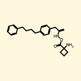 C=C(Cc1ccc(CCCCc2ccccc2)cc1)NOC(=O)C1(N)CCC1